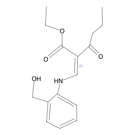 CCCC(=O)/C(=C/Nc1ccccc1CO)C(=O)OCC